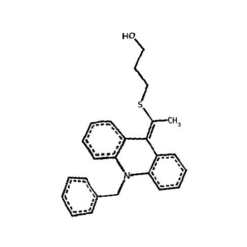 CC(SCCCO)=C1c2ccccc2N(Cc2ccccc2)c2ccccc21